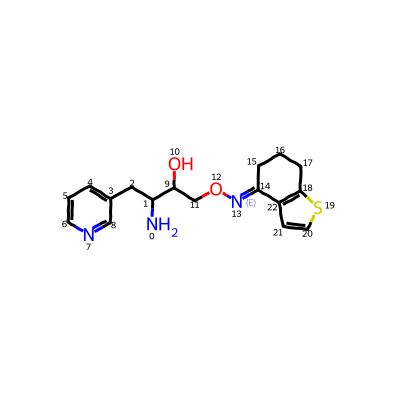 NC(Cc1cccnc1)C(O)CO/N=C1\CCCc2sccc21